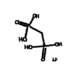 O=P(O)(O)CP(=O)(O)O.[Li]